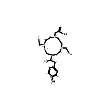 C=C(O)CN1CCN(CC(C)=O)CCN(C(Cc2ccc(O)cc2)C(C)=O)CCN(CC(C)=O)CC1